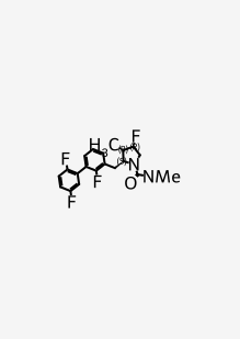 CNC(=O)N1C[C@H](F)[C@H](C)[C@@H]1Cc1cccc(-c2cc(F)ccc2F)c1F